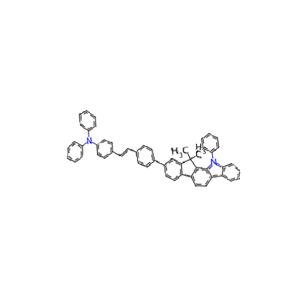 CC1(C)c2cc(-c3ccc(/C=C/c4ccc(N(c5ccccc5)c5ccccc5)cc4)cc3)ccc2-c2ccc3c4ccccc4n(-c4ccccc4)c3c21